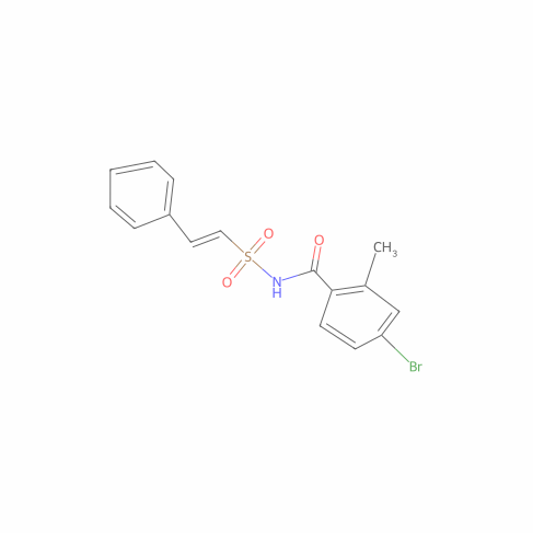 Cc1cc(Br)ccc1C(=O)NS(=O)(=O)/C=C/c1ccccc1